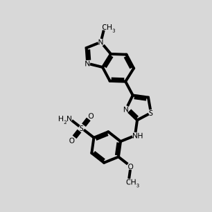 COc1ccc(S(N)(=O)=O)cc1Nc1nc(-c2ccc3c(c2)ncn3C)cs1